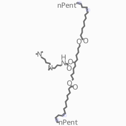 CCCCC/C=C\C/C=C\CCCCCCCC(=O)OCCCCCC(CCCCCOC(=O)CCCCCCC/C=C\C/C=C\CCCCC)OC(=O)NCCCN(C)CCCCN(C)C